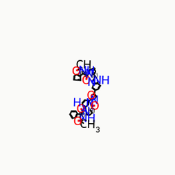 CC(=O)N[C@@H](C(=O)N1CCC[C@H]1c1nc2cc(-c3cnc(-c4cccc([N+]5(C(=O)[C@H](NC(C)=O)c6ccccc6)CCC[C@H]5C(N)=O)c4)o3)ccc2[nH]1)c1ccccc1